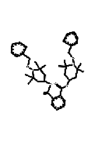 CC1(C)CC(OC(=O)c2ccccc2C(=O)OC2CC(C)(C)N(OCc3ccccc3)C(C)(C)C2)CC(C)(C)N1OCc1ccccc1